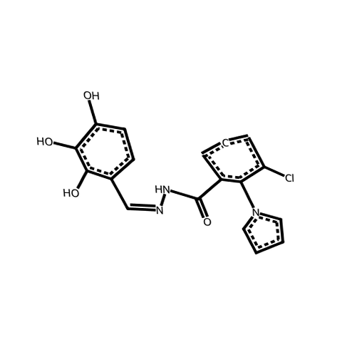 O=C(N/N=C\c1ccc(O)c(O)c1O)c1cccc(Cl)c1-n1cccc1